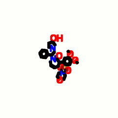 COc1cc(C2CC=CCN(C(CN3CCC(O)C3)c3ccccc3)C2=O)c(S(=O)(=O)N2CCOCC2)cc1OC